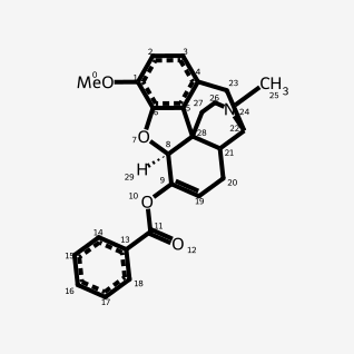 COc1ccc2c3c1O[C@@H]1C(OC(=O)c4ccccc4)=CCC4C(C2)N(C)CCC341